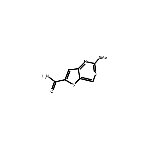 CSc1ncc2sc(C(N)=O)cc2n1